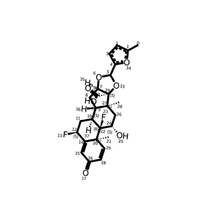 Cc1ccc(C2O[C@@H]3C[C@H]4[C@@H]5C[C@H](F)C6=CC(=O)C=C[C@]6(C)[C@@]5(F)[C@@H](O)C[C@]4(C)[C@]3(C(=O)O)O2)o1